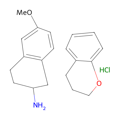 COc1ccc2c(c1)CCC(N)C2.Cl.c1ccc2c(c1)CCCO2